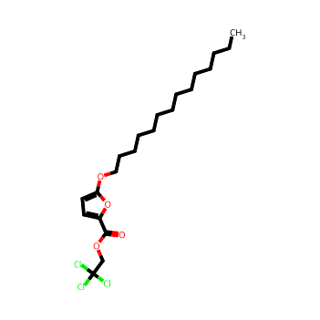 CCCCCCCCCCCCCCOc1ccc(C(=O)OCC(Cl)(Cl)Cl)o1